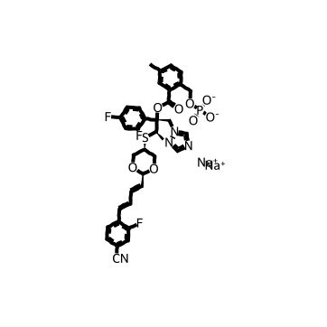 Cc1ccc(COP(=O)([O-])[O-])c(C(=O)O[C@@](Cn2cncn2)(c2ccc(F)cc2F)[C@@H](C)S[C@H]2CO[C@H](/C=C/C=C/c3ccc(C#N)cc3F)OC2)c1.[Na+].[Na+]